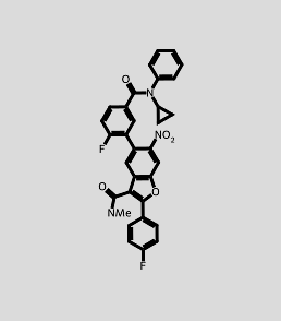 CNC(=O)c1c(-c2ccc(F)cc2)oc2cc([N+](=O)[O-])c(-c3cc(C(=O)N(c4ccccc4)C4CC4)ccc3F)cc12